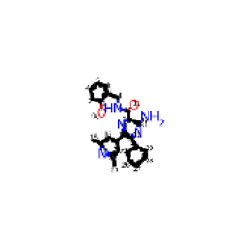 COc1ccccc1CNC(=O)c1nc(-c2cc(C)nc(C)c2)c(-c2ccccc2)nc1N